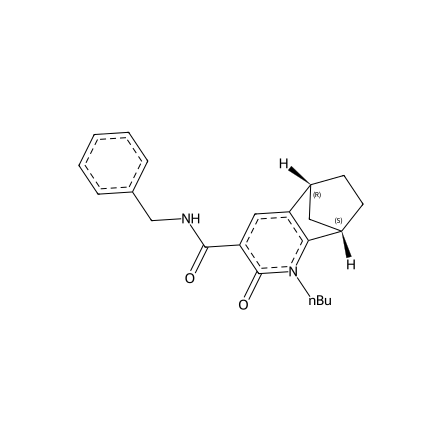 CCCCn1c2c(cc(C(=O)NCc3ccccc3)c1=O)[C@@H]1CC[C@H]2C1